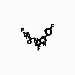 O=C(Cn1cc(F)c2ncc(-c3ccc(F)cc3)cc21)N1CC(F)C1